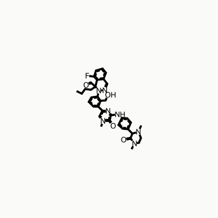 CCCCC1(C=O)c2c(F)cccc2C=NN1c1cccc(-c2cn(C)c(=O)c(Nc3ccc(C4C(=O)N(C)CCN4C)cc3)n2)c1CO